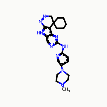 CN1CCN(c2ccc(Nc3ncc4[nH]c5c(c4n3)C3(CCCCC3)CN=N5)nc2)CC1